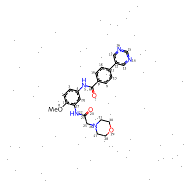 COc1ccc(NC(=O)c2ccc(-c3cncnc3)cc2)cc1NC(=O)CN1CCOCC1